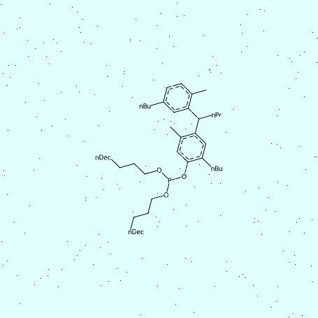 CCCCCCCCCCCCCOP(OCCCCCCCCCCCCC)Oc1cc(C)c(C(CCC)c2cc(CCCC)[c]cc2C)cc1CCCC